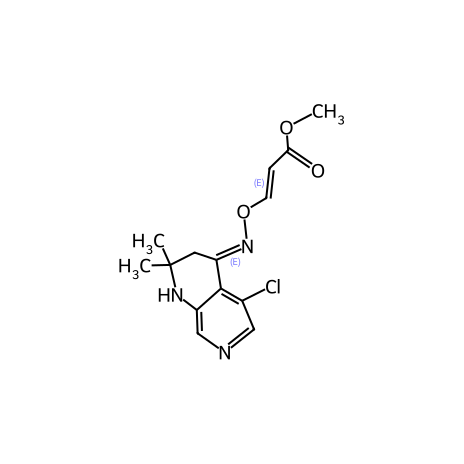 COC(=O)/C=C/O/N=C1\CC(C)(C)Nc2cncc(Cl)c21